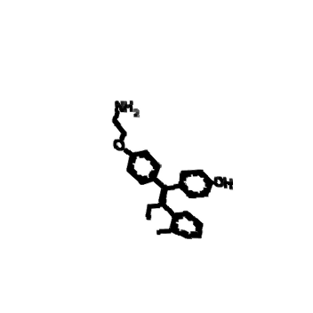 CCC(=C(c1ccc(O)cc1)c1ccc(OCCN)cc1)c1ccccc1C